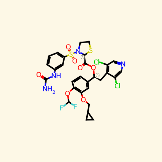 NC(=O)Nc1cccc(S(=O)(=O)N2CCS[C@H]2C(=O)O[C@@H](Cc2c(Cl)cncc2Cl)c2ccc(OC(F)F)c(OCC3CC3)c2)c1